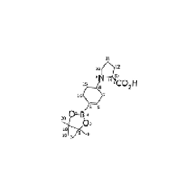 CC1(C)OB(C2=CCC(N3CCC[C@H]3C(=O)O)CC2)OC1(C)C